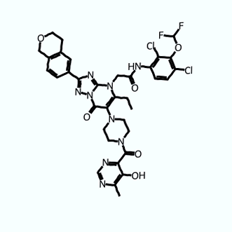 CCc1c(N2CCN(C(=O)c3ncnc(C)c3O)CC2)c(=O)n2nc(-c3ccc4c(c3)CCOC4)nc2n1CC(=O)Nc1ccc(Cl)c(OC(F)F)c1Cl